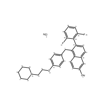 Cl.Oc1ccc2c(Cc3ccc(OCCN4CCCCC4)cc3)c(-c3c(F)cccc3F)ccc2c1